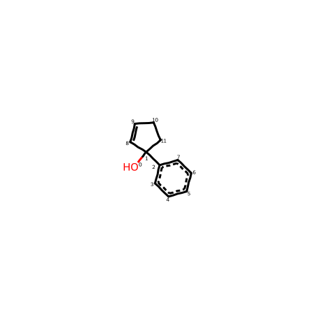 OC1(c2ccccc2)C=CCC1